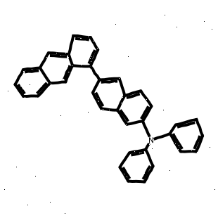 c1ccc(N(c2ccccc2)c2ccc3cc(-c4cccc5cc6ccccc6cc45)ccc3c2)cc1